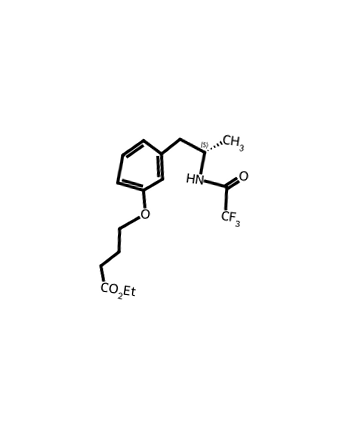 CCOC(=O)CCCOc1cccc(C[C@H](C)NC(=O)C(F)(F)F)c1